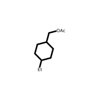 [CH2]CC1CCC(COC(C)=O)CC1